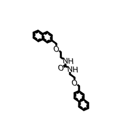 O=C(NCCOCc1ccc2ccccc2c1)NCCOCc1ccc2ccccc2c1